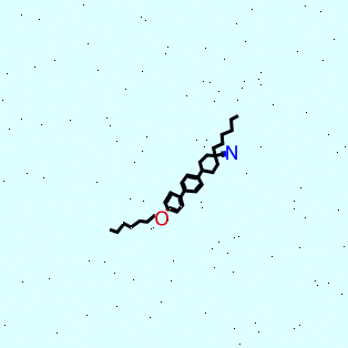 CCCCCCCOc1ccc(-c2ccc(C3CCC(C#N)(CCCCCC)CC3)cc2)cc1